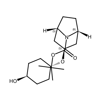 CC(C)(C)OC(=O)N1[C@@H]2CC[C@H]1C[C@H](O[C@H]1CC[C@H](O)CC1)C2